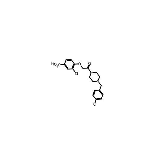 O=C(O)c1ccc(OCC(=O)N2CCN(Cc3ccc(Cl)cc3)CC2)c(Cl)c1